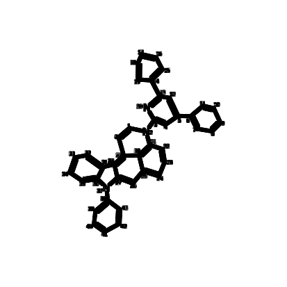 C1=CN(c2cc(-c3ccccc3)cc(-c3ccccc3)n2)c2cccc3cc4c(c1c23)c1ccccc1n4-c1ccccc1